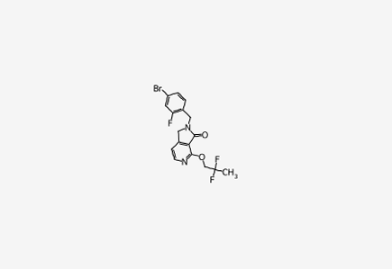 CC(F)(F)COc1nccc2c1C(=O)N(Cc1ccc(Br)cc1F)C2